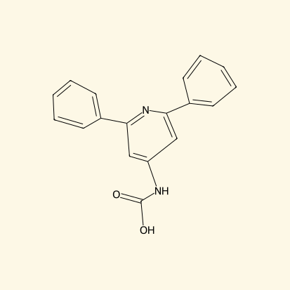 O=C(O)Nc1cc(-c2ccccc2)nc(-c2ccccc2)c1